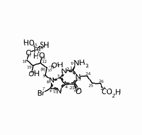 Nc1nc2c(nc(Br)n2C[C@@H](O)C2O[PH](O)(S)OCC2O)c(=O)n1CCCC(=O)O